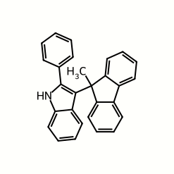 CC1(c2c(-c3ccccc3)[nH]c3ccccc23)c2ccccc2-c2ccccc21